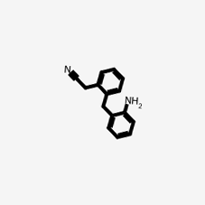 N#CCc1ccccc1Cc1ccccc1N